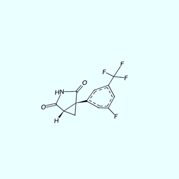 O=C1NC(=O)[C@]2(c3cc(F)cc(C(F)(F)F)c3)C[C@H]12